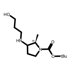 C[C@@H]1C(NCCCO)CCN1C(=O)OC(C)(C)C